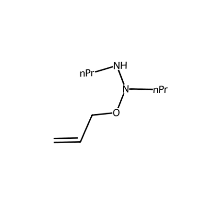 C=CCON(CCC)NCCC